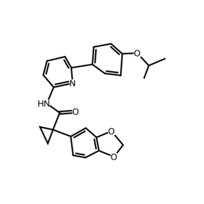 CC(C)Oc1ccc(-c2cccc(NC(=O)C3(c4ccc5c(c4)OCO5)CC3)n2)cc1